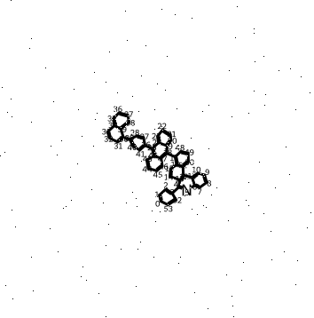 c1ccc(-c2nc3ccccc3c3c2ccc2c(-c4c5ccccc5c(-c5ccc(-c6cccc7ccccc67)cc5)c5ccccc45)cccc23)cc1